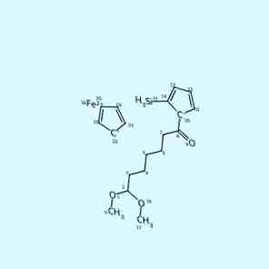 COC(CCCCCC(=O)[c-]1cccc1[SiH3])OC.[Fe+2].c1cc[cH-]c1